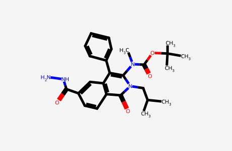 CC(C)Cn1c(N(C)C(=O)OC(C)(C)C)c(-c2ccccc2)c2cc(C(=O)NN)ccc2c1=O